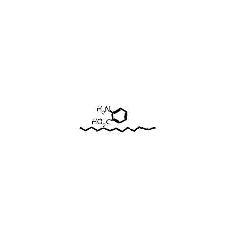 CCCCCCCCCCCCC.Nc1ccccc1C(=O)O